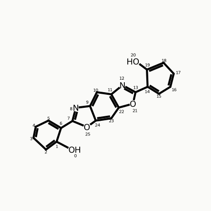 Oc1ccccc1-c1nc2cc3nc(-c4ccccc4O)oc3cc2o1